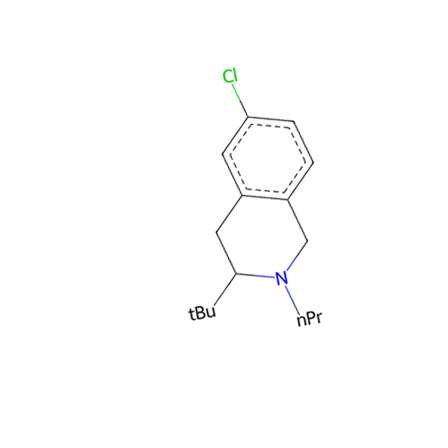 CCCN1Cc2ccc(Cl)cc2CC1C(C)(C)C